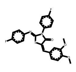 COc1ccc(C=C2SC(=Nc3ccc(F)cc3)N(c3ccc(F)cc3)C2=O)cc1OC